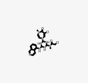 CN1C=CN(C2NC(Nc3cccc4cnccc34)NC(N(C)C(=O)CCl)N2)C=C(Cl)C1=O